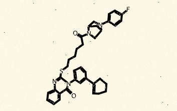 O=C(CCCCCSc1nc2ccccc2c(=O)n1-c1cccc(C2=CCCCC2)c1)N1CC2CC1CN2c1ccc(F)cc1